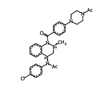 CC(=O)N1CCN(c2ccc(C(=O)N3c4ccccc4[C@H](N(C(C)=O)c4ccc(Cl)cc4)C[C@@H]3C)cc2)CC1